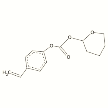 C=Cc1ccc(OC(=O)OC2CCCCO2)cc1